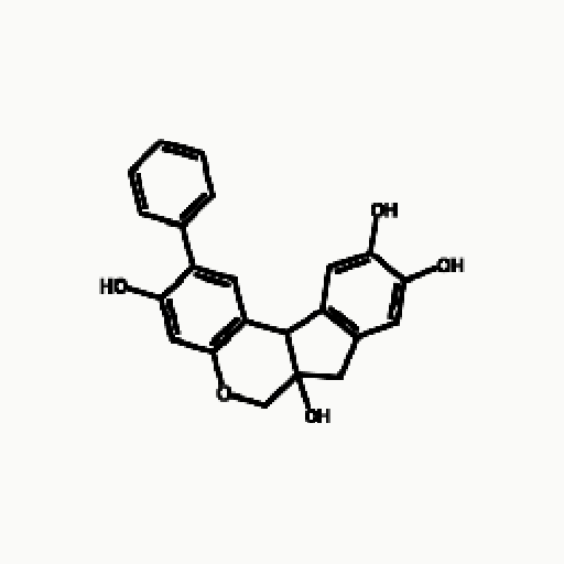 Oc1cc2c(cc1O)C1c3cc(-c4ccccc4)c(O)cc3OCC1(O)C2